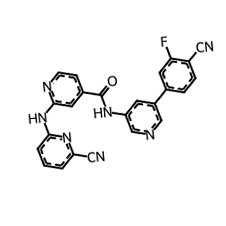 N#Cc1cccc(Nc2cc(C(=O)Nc3cncc(-c4ccc(C#N)c(F)c4)c3)ccn2)n1